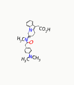 CN(C)c1ccc(CC(=O)N(C)[C@@H]2CCc3c(CC(=O)O)c4ccccc4n3C2)cc1